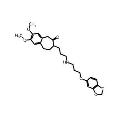 COc1cc2c(cc1OC)CC(=O)C(CCCNCCCOc1ccc3c(c1)OCO3)CC2